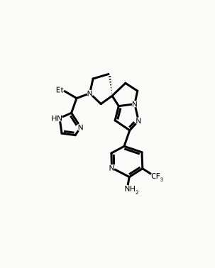 CCC(c1ncc[nH]1)N1CC[C@@]2(CCn3nc(-c4cnc(N)c(C(F)(F)F)c4)cc32)C1